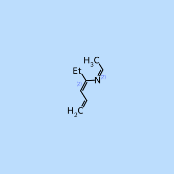 C=C/C=C(CC)\N=C/C